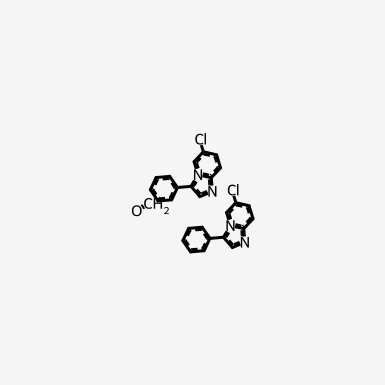 C=O.Clc1ccc2ncc(-c3ccccc3)n2c1.Clc1ccc2ncc(-c3ccccc3)n2c1